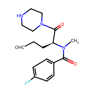 CN(C(=O)c1ccc(F)cc1)[C@@H](CCC=O)C(=O)N1CCNCC1